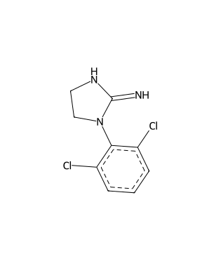 N=C1NCCN1c1c(Cl)cccc1Cl